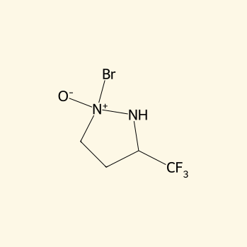 [O-][N+]1(Br)CCC(C(F)(F)F)N1